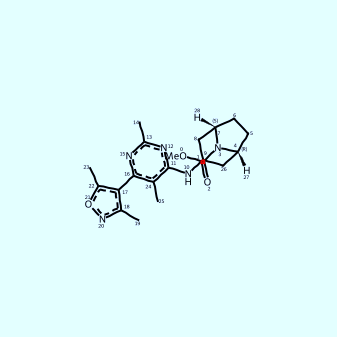 COC(=O)N1[C@@H]2CC[C@H]1CC(Nc1nc(C)nc(-c3c(C)noc3C)c1C)C2